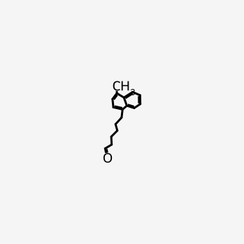 Cc1ccc(CCCCCC=O)c2ccccc12